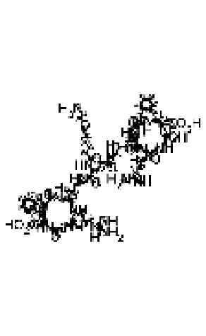 N=C(N)NCCC[C@@H]1NC(=O)[C@H](CCCCNC(=O)[C@H](CCC(=O)NCCCC[C@@H]2NC(=O)[C@@H](Cc3ccccc3)NC(=O)[C@H](CC(=O)O)N[C@H](O)CNC(=O)[C@H](CCCNC(=N)N)NC2=O)NC(=O)CCOCCOCCN)NC(=O)[C@@H](Cc2ccccc2)NC(=O)[C@H](CC(=O)O)NC(=O)CNC1=O